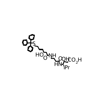 CC(C)[C@@H](NC(=O)CCCNC(=O)C[C@H](O)C=CCCSC(c1ccccc1)(c1ccccc1)c1ccccc1)[C@@H](O)CC(=O)O